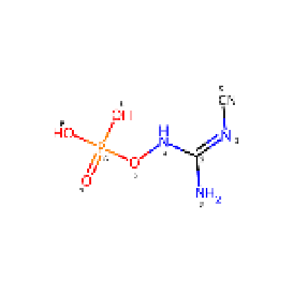 N#CN=C(N)NOP(=O)(O)O